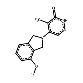 CCOc1cccc2c1CN(c1cn[nH]c(=O)c1C(F)(F)F)C2